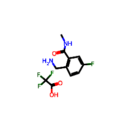 CNC(=O)c1cc(F)ccc1CN.O=C(O)C(F)(F)F